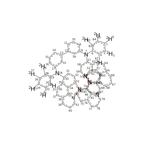 [2H]c1c([2H])c([2H])c(N(c2cccc(-c3cccc(N(c4c([2H])c([2H])c([2H])c([2H])c4[2H])c4ccc5c6c4ccc4cccc(c46)n5-c4cccc5cccnc45)c3)c2)c2ccc3c4c2ccc2cccc(c24)n3-c2cccc3cccnc23)c([2H])c1[2H]